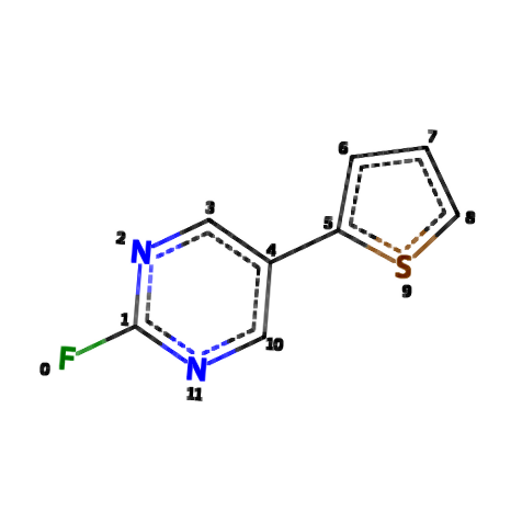 Fc1ncc(-c2cccs2)cn1